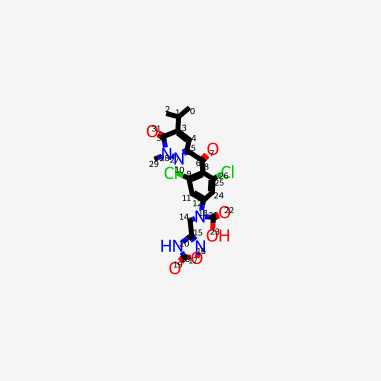 CC(C)c1cc(C(=O)c2c(Cl)cc(N(Cc3noc(=O)[nH]3)C(=O)O)cc2Cl)nn(C)c1=O